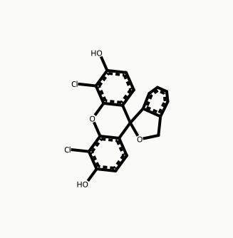 Oc1ccc2c(c1Cl)Oc1c(ccc(O)c1Cl)C21OCc2ccccc21